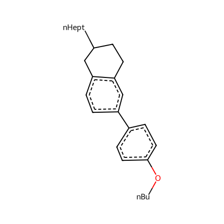 CCCCCCCC1CCc2cc(-c3ccc(OCCCC)cc3)ccc2C1